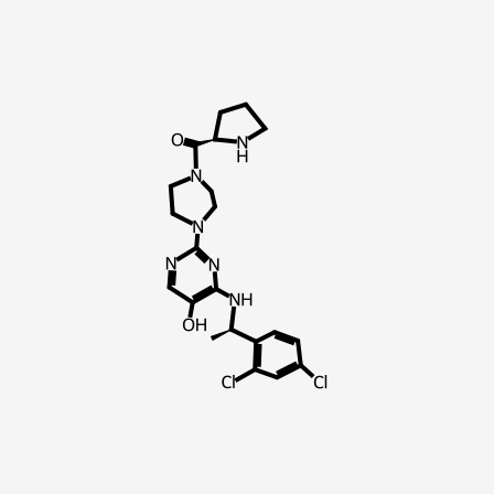 C[C@@H](Nc1nc(N2CCN(C(=O)[C@H]3CCCN3)CC2)ncc1O)c1ccc(Cl)cc1Cl